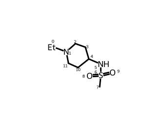 CCN1CCC(NS(C)(=O)=O)CC1